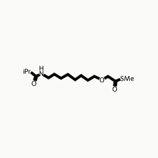 CSC(=O)COCCCCCCCCNC(=O)C(C)C